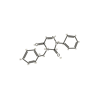 O=c1cnn(-c2ccccc2)c(=O)n1Cc1ccccc1